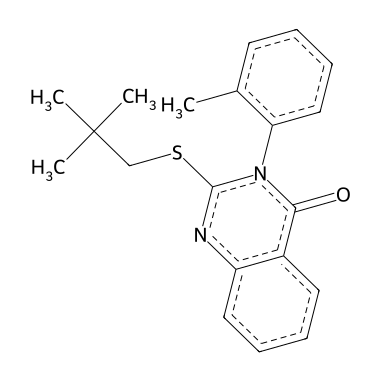 Cc1ccccc1-n1c(SCC(C)(C)C)nc2ccccc2c1=O